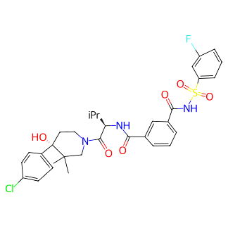 CC(C)[C@@H](NC(=O)c1cccc(C(=O)NS(=O)(=O)c2cccc(F)c2)c1)C(=O)N1CC[C@](O)(c2ccc(Cl)cc2)C(C)(C)C1